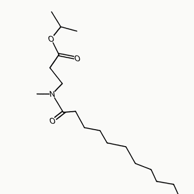 CCCCCCCCCCCC(=O)N(C)CCC(=O)OC(C)C